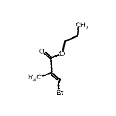 CCCOC(=O)C(C)=CBr